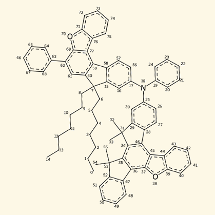 CCCCCCCC1(CCCCCCC)c2cc(N(c3ccccc3)c3ccc4c(c3)C(C)(C)c3c5c(c6oc7ccccc7c6c3-4)-c3ccccc3C5(C)C)ccc2-c2c1cc(-c1ccccc1)c1oc3ccccc3c21